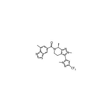 Cc1cc(C(=O)N2CCc3c(nn(C)c3-c3cc(C(F)(F)F)nn3C)[C@@H]2C)cc2scnc12